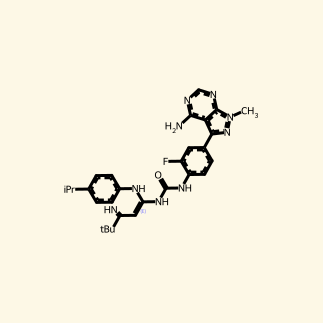 CC(C)c1ccc(N/C(=C\C(=N)C(C)(C)C)NC(=O)Nc2ccc(-c3nn(C)c4ncnc(N)c34)cc2F)cc1